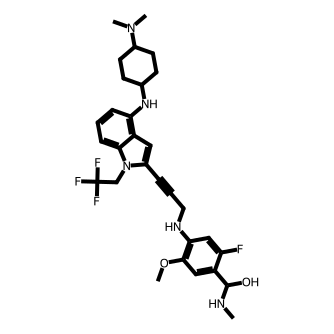 CNC(O)c1cc(OC)c(NCC#Cc2cc3c(NC4CCC(N(C)C)CC4)cccc3n2CC(F)(F)F)cc1F